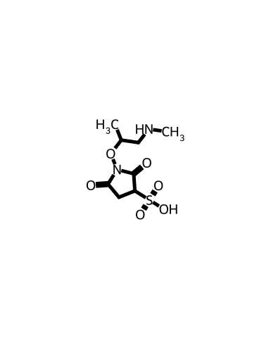 CNCC(C)ON1C(=O)CC(S(=O)(=O)O)C1=O